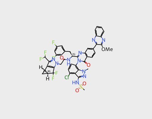 COc1nc2ccccc2nc1-c1ccc2c(=O)n(-c3ccc(Cl)c4c(NS(C)(=O)=O)nn(C)c34)c([C@H](Cc3cc(F)cc(F)c3)NC(=O)Cn3nc(C(F)F)c4c3C(F)(F)[C@@H]3C[C@H]43)nc2c1